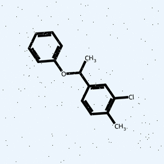 Cc1ccc(C(C)Oc2ccccc2)cc1Cl